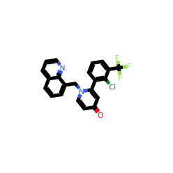 O=c1ccn(Cc2cccc3cccnc23)c(-c2cccc(C(F)(F)F)c2Cl)c1